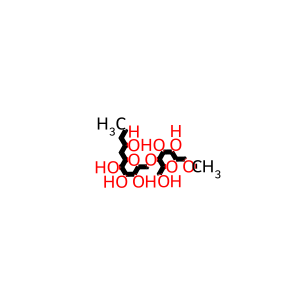 CCCC(O)CC1OC(COC2C(CO)OC(COC)C(O)C2O)C(O)C(O)C1O